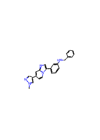 Cn1cc(-c2ccn3c(-c4cccc(NCc5ccccc5)c4)cnc3c2)cn1